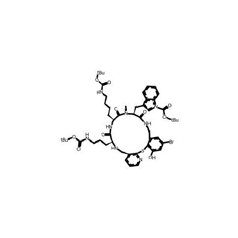 CN1C(=O)[C@H](CCCCNC(=O)OC(C)(C)C)NC(=O)[C@H](CCCNC(=O)OC(C)(C)C)NCc2cccnc2Sc2c(O)cc(Br)cc2CNC(=O)[C@@H]1Cc1cn(C(=O)OC(C)(C)C)c2ccccc12